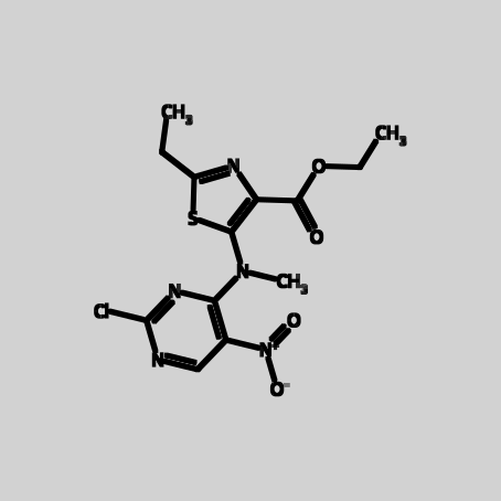 CCOC(=O)c1nc(CC)sc1N(C)c1nc(Cl)ncc1[N+](=O)[O-]